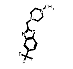 CN1CCN(Cc2nc3cc(C(F)(F)F)ccc3s2)CC1